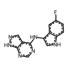 Fc1ccc2[nH]cc(Nc3ncnc4[nH]ncc34)c2c1